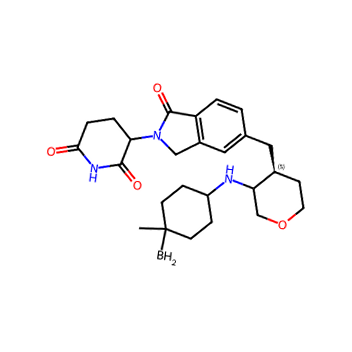 BC1(C)CCC(NC2COCC[C@@H]2Cc2ccc3c(c2)CN(C2CCC(=O)NC2=O)C3=O)CC1